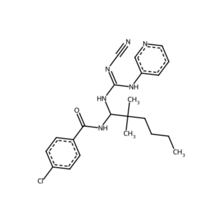 CCCCC(C)(C)C(NC(=O)c1ccc(Cl)cc1)N/C(=N/C#N)Nc1cccnc1